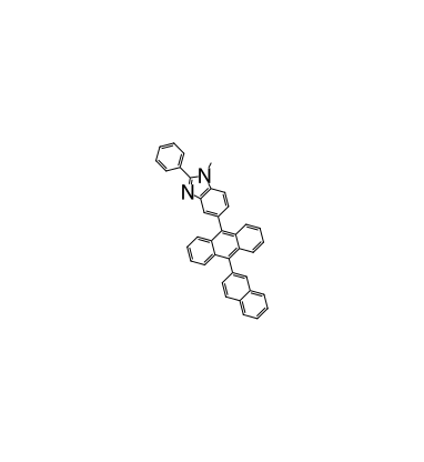 Cn1c(-c2ccccc2)nc2cc(-c3c4ccccc4c(-c4ccc5ccccc5c4)c4ccccc34)ccc21